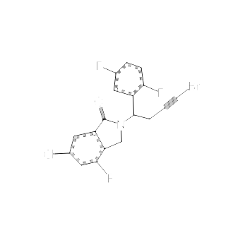 O=C1c2cc(Cl)cc(F)c2CN1C(CC#CBr)c1cc(F)ccc1F